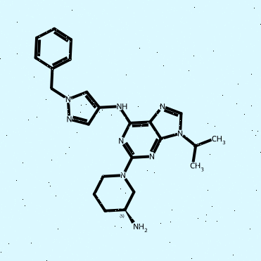 CC(C)n1cnc2c(Nc3cnn(Cc4ccccc4)c3)nc(N3CCC[C@H](N)C3)nc21